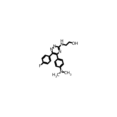 CN(C)c1ccc(-c2nc(NCCO)nnc2-c2ccc(F)cc2)cc1